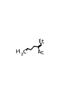 C=CCC/C(=C\CC)C(C)=O